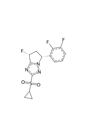 O=S(=O)(c1nc2n(n1)[C@@H](c1cccc(F)c1F)C[C@H]2F)C1CC1